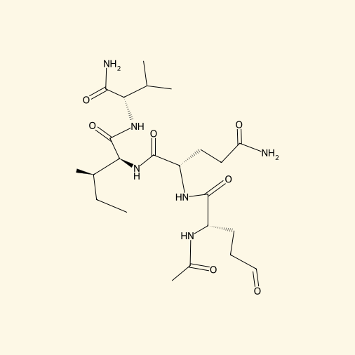 CC[C@@H](C)[C@H](NC(=O)[C@H](CCC(N)=O)NC(=O)[C@H](CCC=O)NC(C)=O)C(=O)N[C@H](C(N)=O)C(C)C